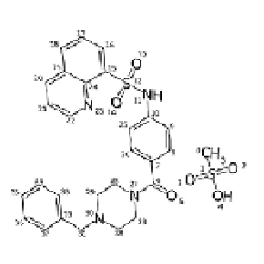 CS(=O)(=O)O.O=C(c1ccc(NS(=O)(=O)c2cccc3cccnc23)cc1)N1CCN(Cc2ccccc2)CC1